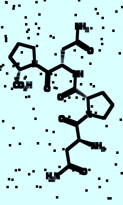 NC(=O)C[C@H](NC(=O)[C@@H]1CCCN1C(=O)[C@@H](N)CC(N)=O)C(=O)N1CCC[C@H]1C(=O)O